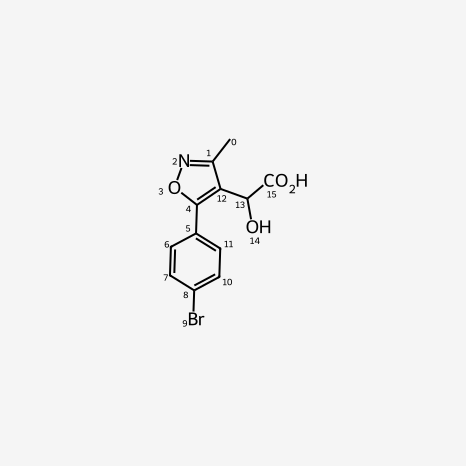 Cc1noc(-c2ccc(Br)cc2)c1C(O)C(=O)O